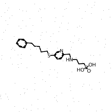 O=P(O)(O)CCCNCc1ccc(SCCCCCc2ccccc2)cn1